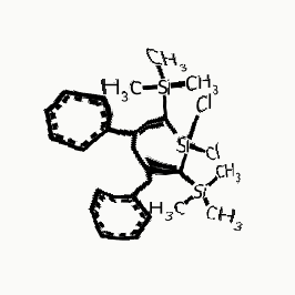 C[Si](C)(C)C1=C(c2ccccc2)C(c2ccccc2)=C([Si](C)(C)C)[Si]1(Cl)Cl